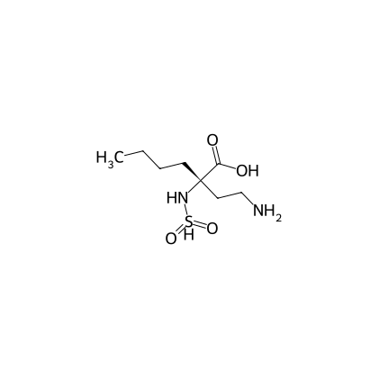 CCCC[C@@](CCN)(N[SH](=O)=O)C(=O)O